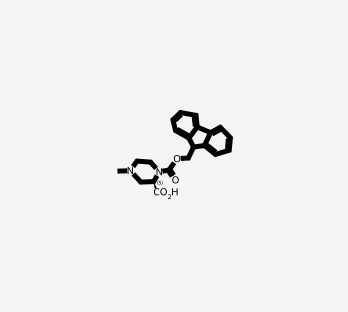 CN1CCN(C(=O)OCC2c3ccccc3-c3ccccc32)[C@H](C(=O)O)C1